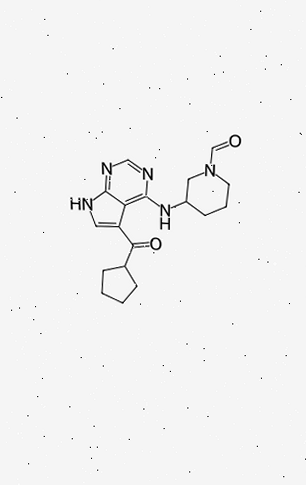 O=CN1CCCC(Nc2ncnc3[nH]cc(C(=O)C4CCCC4)c23)C1